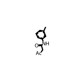 CC(=O)CC(=O)Nc1cccc(C)c1